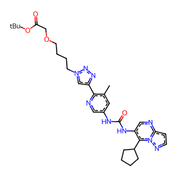 Cc1cc(NC(=O)Nc2cnc3ccnn3c2C2CCCC2)cnc1-c1cn(CCCCOCC(=O)OC(C)(C)C)nn1